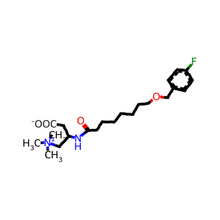 C[N+](C)(C)CC(CC(=O)[O-])NC(=O)CCCCCCCOCc1ccc(F)cc1